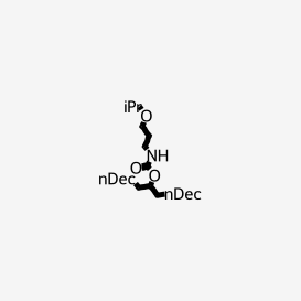 CCCCCCCCCCCC(CCCCCCCCCCC)OC(=O)NCCCOC(C)C